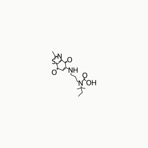 CCC(C)(C)N(CCCNC1=CC(=O)c2sc(C)nc2C1=O)C(=O)O